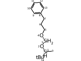 C[SiH](O[SiH2]OCCCc1ccccc1)C(C)(C)C